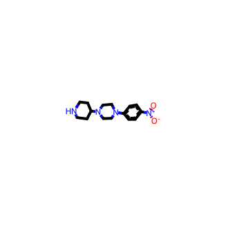 O=[N+]([O-])c1ccc(N2CCN(C3CCNCC3)CC2)cc1